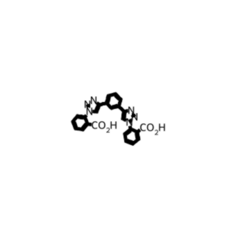 O=C(O)c1ccccc1-n1cc(-c2cccc(-c3cn(-c4ccccc4C(=O)O)nn3)c2)nn1